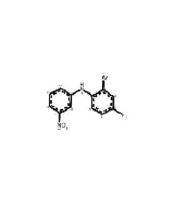 CC(=O)c1cc(F)ccc1Nc1cccc([N+](=O)[O-])c1